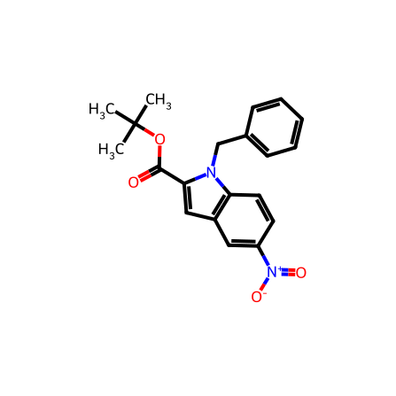 CC(C)(C)OC(=O)c1cc2cc([N+](=O)[O-])ccc2n1Cc1ccccc1